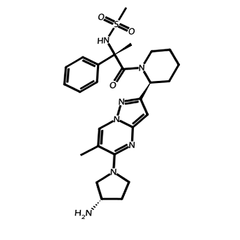 Cc1cn2nc([C@@H]3CCCCN3C(=O)[C@@](C)(NS(C)(=O)=O)c3ccccc3)cc2nc1N1CC[C@H](N)C1